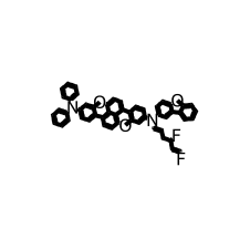 F/C=C/C(F)C/C=C/N(c1ccc2c(c1)Oc1ccc3c4c(ccc-2c14)Oc1cc(N(c2ccccc2)c2ccccc2)ccc1-3)c1ccc2oc3ccccc3c2c1